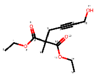 CCOC(=O)C(C)(CC#CCO)C(=O)OCC